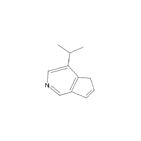 CC(C)c1cncc2c1CC=C2